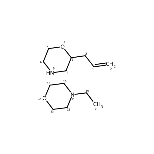 C=CCC1CNCCO1.CCN1CCOCC1